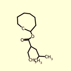 CCC(CC(C)C)C(=O)OC1CCCCCCC1